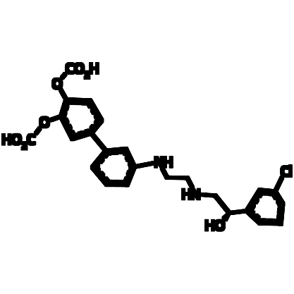 O=C(O)Oc1ccc(-c2cccc(NCCNC[C@H](O)c3cccc(Cl)c3)c2)cc1OC(=O)O